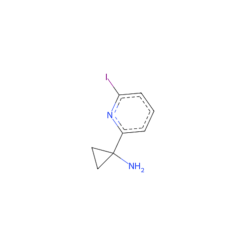 NC1(c2cccc(I)n2)CC1